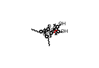 CCCCCCc1ccc(OP(Oc2ccc(CCCCCC)cc2)Oc2c(-c3cc(OC)cc(CC(C)C)c3Op3oc4c(C(C)(C)C)cc(CO)cc4c4cc(CO)cc(C(C)(C)C)c4o3)cc(OC)cc2C(C)(C)C)cc1